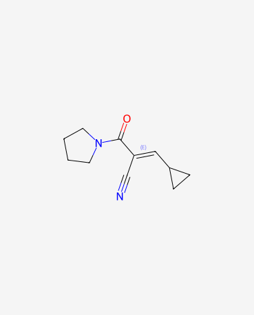 N#C/C(=C\C1CC1)C(=O)N1CCCC1